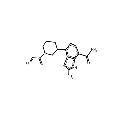 C=CC(=O)N1CCC[C@@H](c2ccc(C(N)=O)c3[nH]c(C)cc23)C1